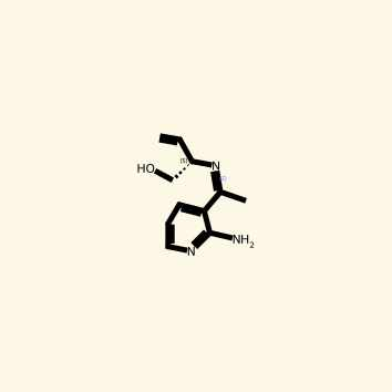 C=C[C@@H](CO)/N=C(/C)c1cccnc1N